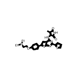 CCN(CC)CCOc1ccc(-c2cc3c(NC4=C(C)C(=O)NC4=O)nc(-c4cccs4)nc3s2)cc1